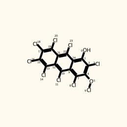 Oc1c(Cl)c(OCl)c(Cl)c2c(Cl)c3c(Cl)c(Cl)c(Cl)c(Cl)c3c(Cl)c12